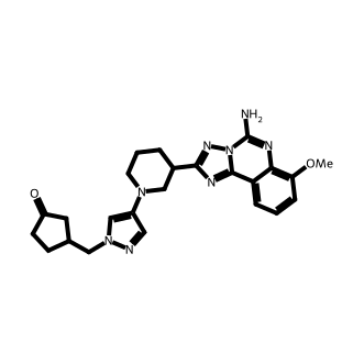 COc1cccc2c1nc(N)n1nc(C3CCCN(c4cnn(CC5CCC(=O)C5)c4)C3)nc21